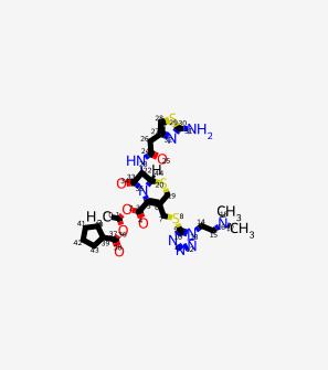 CC(OC(=O)C1=C(CSc2nnnn2CCN(C)C)CS[C@H]2[C@@H](NC(=O)Cc3csc(N)n3)C(=O)N12)OC(=O)C1CCCC1